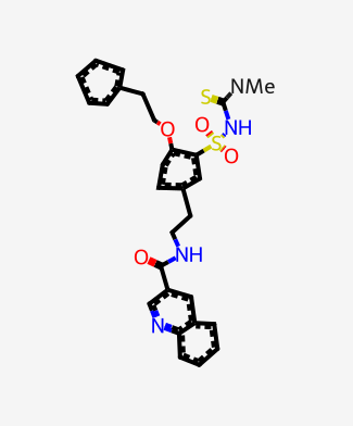 CNC(=S)NS(=O)(=O)c1cc(CCNC(=O)c2cnc3ccccc3c2)ccc1OCCc1ccccc1